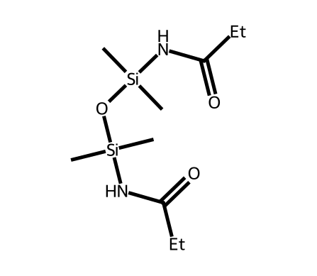 CCC(=O)N[Si](C)(C)O[Si](C)(C)NC(=O)CC